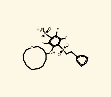 NS(=O)(=O)c1c(F)c(F)c(S(=O)(=O)CCc2ccccc2)c(NC2CCCCCCCCCCC2)c1F